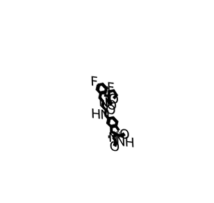 CN1C(=O)NC(=O)[C@@]12Cc1ccc(NC(=O)CN(Cc3cc(F)cc(F)c3)C(=O)C3(C)CCCO3)cc1C2